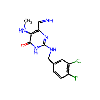 CNc1c(C=N)nc(NCc2ccc(F)c(Cl)c2)[nH]c1=O